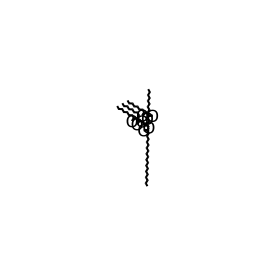 CCCCCCCCCCCCCCCCCCCC(=O)OC(COC(=O)C(CCCCCCCC)C(=O)CCCCCCC)COC(=O)C(CCCCCCCC)C(=O)CCCCCCC